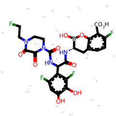 O=C(O)c1c(F)ccc2c1OB(O)[C@@H](NC(=O)C(NC(=O)N1CCN(CCF)C(=O)C1=O)c1c(F)cc(O)c(O)c1F)C2